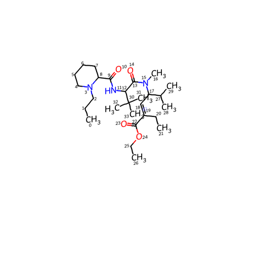 CCCN1CCCCC1C(=O)NC(C(=O)N(C)C(/C=C(\CC)C(=O)OCC)C(C)C)C(C)(C)C